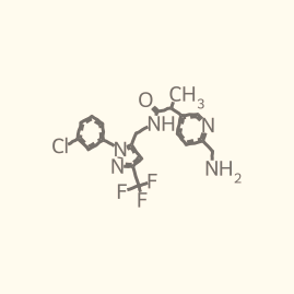 CC(C(=O)NCc1cc(C(F)(F)F)nn1-c1cccc(Cl)c1)c1ccc(CN)nc1